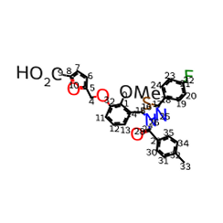 COc1c(OCc2ccc(C(=O)O)o2)cccc1C1SC(c2ccc(F)cc2)=NN1C(=O)c1ccc(C)cc1